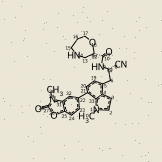 Cn1ccc2c(C[C@@H](C#N)NC(=O)[C@@H]3CNCCCO3)ccc(-c3ccc4oc(=O)n(C)c4c3)c21